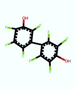 Oc1c(F)c(F)c(-c2c(F)c(O)c(F)c(F)c2F)c(F)c1F